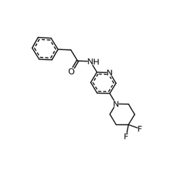 O=C(Cc1ccccc1)Nc1ccc(N2CCC(F)(F)CC2)cn1